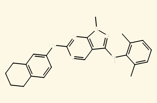 Cc1cccc(C)c1Nc1nn(C)c2nc(Nc3ccc4c(c3)CCCC4)ncc12